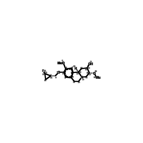 COc1cc2c(cc1OC[C@@H]1C[C@H]1F)CCN1C[C@@H](OC(C)(C)C)[C@H](O)C[C@H]21